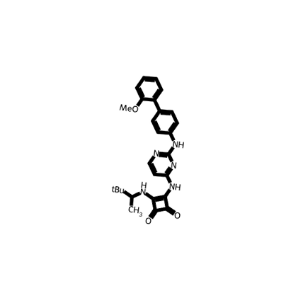 COc1ccccc1-c1ccc(Nc2nccc(Nc3c(NC(C)C(C)(C)C)c(=O)c3=O)n2)cc1